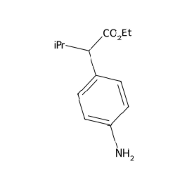 CCOC(=O)C(c1ccc(N)cc1)C(C)C